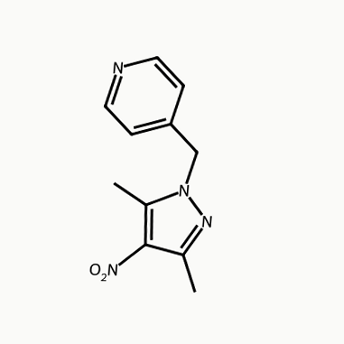 Cc1nn(Cc2ccncc2)c(C)c1[N+](=O)[O-]